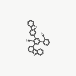 N#Cc1ccccc1-c1cc(-c2ccc3c(c2)oc2ccccc23)c(C#N)c(-c2cccc3sc4ccccc4c23)c1